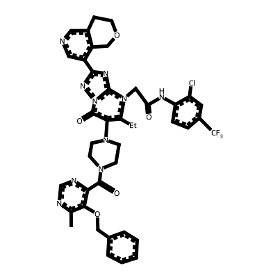 CCc1c(N2CCN(C(=O)c3ncnc(C)c3OCc3ccccc3)CC2)c(=O)n2nc(-c3cncc4c3COCC4)nc2n1CC(=O)Nc1ccc(C(F)(F)F)cc1Cl